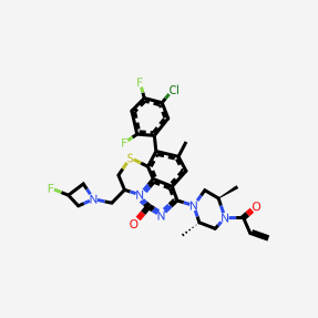 C=CC(=O)N1C[C@H](C)N(c2nc(=O)n3c4c(c(-c5cc(Cl)c(F)cc5F)c(C)cc24)SCC3CN2CC(F)C2)C[C@H]1C